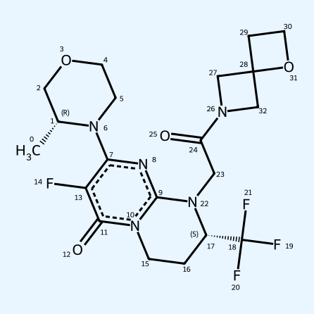 C[C@@H]1COCCN1c1nc2n(c(=O)c1F)CC[C@@H](C(F)(F)F)N2CC(=O)N1CC2(CCO2)C1